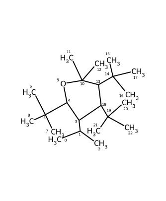 CC(C)C1C(C(C)(C)C)OC(C)(C)C(C(C)(C)C)C1C(C)(C)C